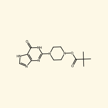 CC(C)(C)C(=O)ON1CCN(c2nc3nc[nH]c3c(=O)[nH]2)CC1